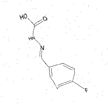 O=C(O)NN=Cc1ccc(F)cc1